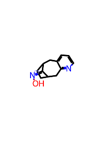 O/N=C1/C2CCC1Cc1ncccc1C2